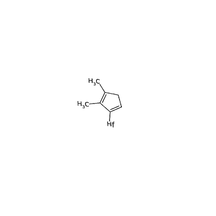 CC1=C(C)[C]([Hf])=CC1